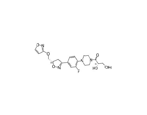 O=C([C@@H](O)CO)N1CCN(c2ccc(C3=NO[C@H](COc4ccon4)C3)cc2F)CC1